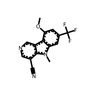 COc1cc(C(F)(F)F)cc2c1c1cncc(C#N)c1n2C